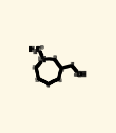 CN1CCCCC(CO)C1